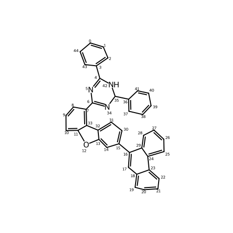 c1ccc(C2=NC(c3cccc4oc5cc(-c6cc7ccccc7c7ccccc67)ccc5c34)=NC(c3ccccc3)N2)cc1